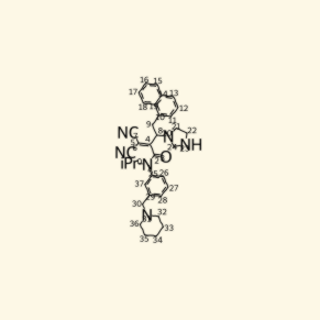 CC(C)N(C(=O)C(=C(C#N)C#N)C(Cc1cccc2ccccc12)N1CCNC1)c1cccc(CN2CCCCC2)c1